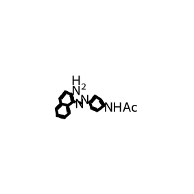 CC(=O)Nc1ccc(N=Nc2c(N)ccc3ccccc23)cc1